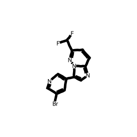 FC(F)c1ccc2ncc(-c3cncc(Br)c3)n2n1